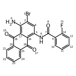 Nc1c(Br)cc(NC(=O)c2ccccc2F)c2c1C(=O)c1ccccc1C2=O